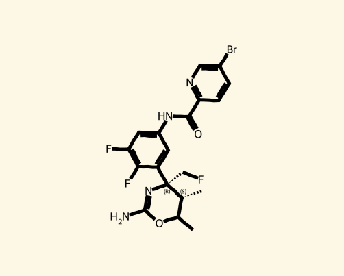 CC1OC(N)=N[C@@](CF)(c2cc(NC(=O)c3ccc(Br)cn3)cc(F)c2F)[C@@H]1C